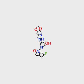 O=c1ccc2ccc(F)cc2n1CCN1C[C@@H](O)C[C@@H](CNCc2cc3c(cn2)OCCO3)C1